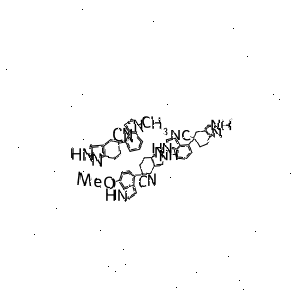 COc1ccc(C2(C#N)CCc3n[nH]cc3C2)c2cc[nH]c12.Cn1ccc2c(C3(C#N)CCc4n[nH]cc4C3)cccc21.N#CC1(c2cccc3[nH]ccc23)CCc2n[nH]cc2C1